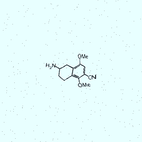 COc1cc(C#N)c(OC)c2c1CC(N)CC2